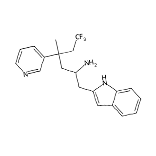 CC(CC(N)Cc1cc2ccccc2[nH]1)(CC(F)(F)F)c1cccnc1